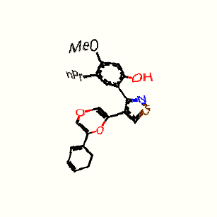 CCCc1cc(-c2nscc2C2=COC=C(C3=CC=CCC3)O2)c(O)cc1OC